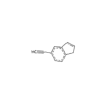 C#Cc1ccc2c(c1)C=CC2